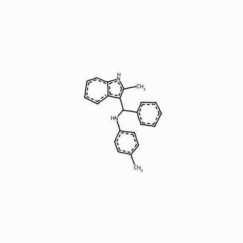 Cc1ccc(NC(c2ccccc2)c2c(C)[nH]c3ccccc23)cc1